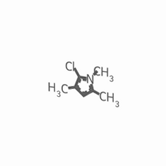 Cc1cc(C)n(C)c1Cl